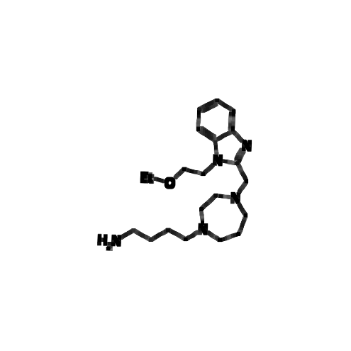 CCOCCn1c(CN2CCCN(CCCCN)CC2)nc2ccccc21